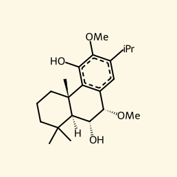 COc1c(C(C)C)cc2c(c1O)[C@@]1(C)CCCC(C)(C)[C@@H]1[C@@H](O)[C@H]2OC